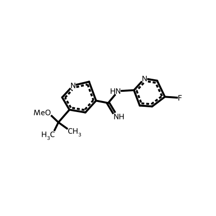 COC(C)(C)c1cncc(C(=N)Nc2ccc(F)cn2)c1